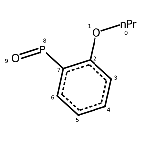 CCCOc1ccccc1P=O